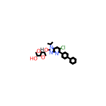 CC(C)n1c(O[C@@H]2COC3[C@H](O)CO[C@@H]32)nc2nc(-c3ccc(-c4ccccc4)cc3)c(Cl)cc21